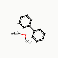 CCCCCCCOC(=O)O.c1ccc(-c2ccccc2)cc1